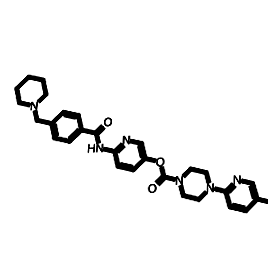 O=C(Nc1ccc(OC(=O)N2CCN(c3ccc(F)cn3)CC2)cn1)c1ccc(CN2CCCCC2)cc1